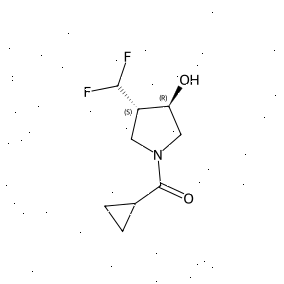 O=C(C1CC1)N1C[C@H](C(F)F)[C@@H](O)C1